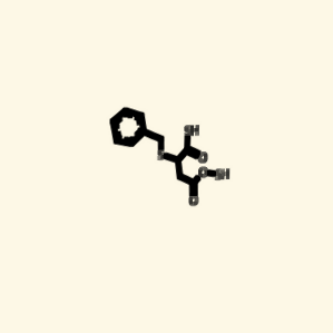 O=C(CC(SCc1ccccc1)C(=O)S)OS